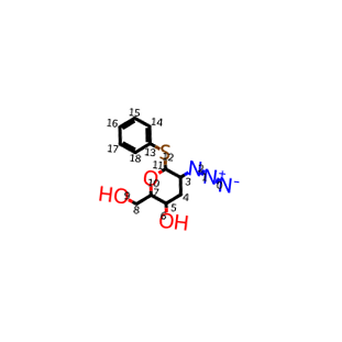 [N-]=[N+]=NC1CC(O)C(CO)OC1Sc1ccccc1